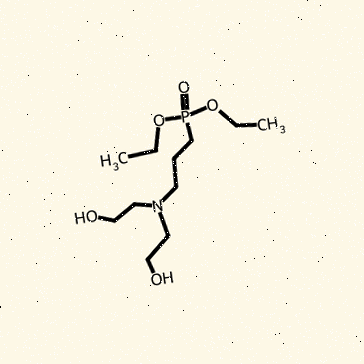 CCOP(=O)(CCCN(CCO)CCO)OCC